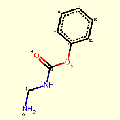 NCNC(=O)Oc1ccccc1